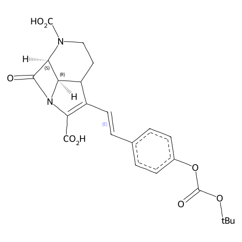 CC(C)(C)OC(=O)Oc1ccc(/C=C/C2=C(C(=O)O)N3C(=O)[C@@H]4[C@H]3C2CCN4C(=O)O)cc1